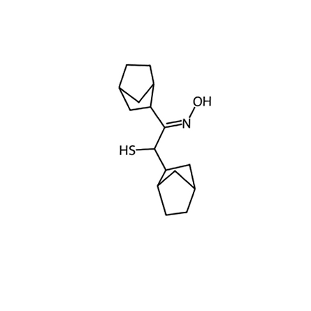 ON=C(C(S)C1CC2CCC1C2)C1CC2CCC1C2